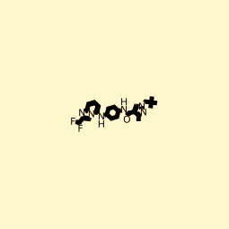 Cc1nn(CC(C)(C)C)cc1C(=O)NC1CCC(Nc2cccc3nc(C(F)F)cn23)CC1